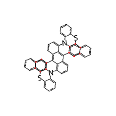 c1ccc2c(c1)Sc1ccccc1N2c1cccc2c(-c3ccc4ccccc4c3)c3c(N4c5ccccc5Sc5ccccc54)cccc3c(-c3ccc4ccccc4c3)c12